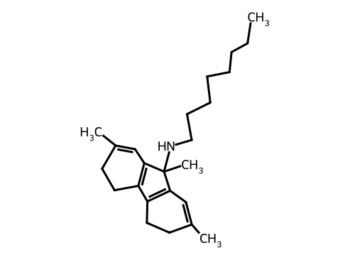 CCCCCCCCNC1(C)C2=C(CCC(C)=C2)C2=C1C=C(C)CC2